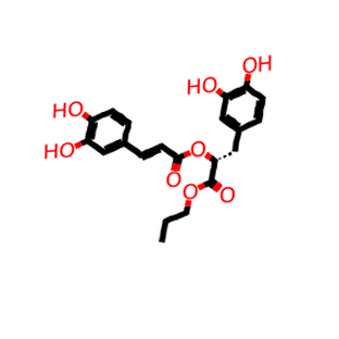 CCCOC(=O)[C@@H](Cc1ccc(O)c(O)c1)OC(=O)C=Cc1ccc(O)c(O)c1